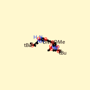 C=CCOC(=O)Nc1cc(OCCCCCOc2cc(N)c(C(=O)NCC(=C)C[C@@H]3CC3O[Si](C)(C)C(C)(C)C)cc2OC)c(OC)cc1C(=O)N1CC(=C)C[C@H]1CO[Si](C)(C)C(C)(C)C